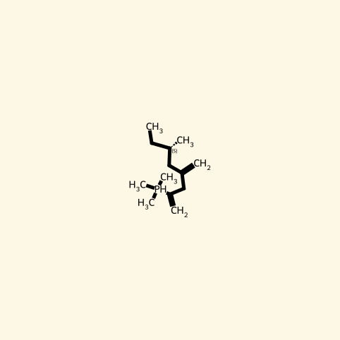 C=C(CC(=C)[PH](C)(C)C)C[C@@H](C)CC